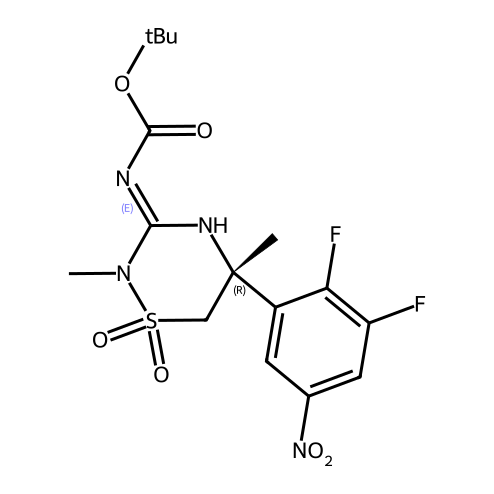 CN1/C(=N/C(=O)OC(C)(C)C)N[C@](C)(c2cc([N+](=O)[O-])cc(F)c2F)CS1(=O)=O